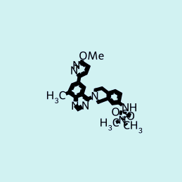 COc1ccc(-c2cc(C)c3ncnc(N4CCc5ccc(NS(=O)(=O)N(C)C)cc5C4)c3c2)nn1